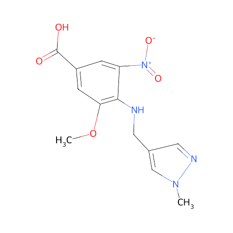 COc1cc(C(=O)O)cc([N+](=O)[O-])c1NCc1cnn(C)c1